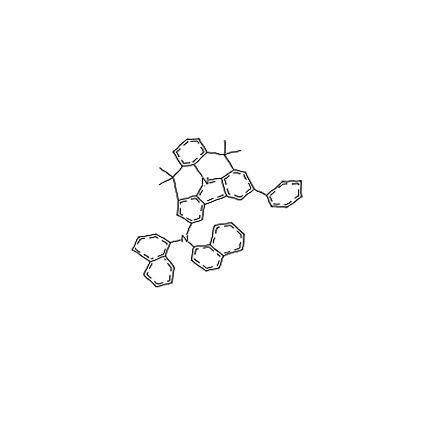 CC1(C)c2cccc3c2-n2c4c1cc(-c1ccccc1)cc4c1cc(N(c4cccc5ccccc45)c4cccc5ccccc45)cc(c12)C3(C)C